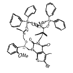 COc1ccccc1[C@H](Cn1c(=O)n(C(C)(C)C(=O)O[Si](c2ccccc2)(c2ccccc2)C(C)(C)C)c(=O)c2c(C)c(Br)sc21)OC[C@@H](C)O[Si](c1ccccc1)(c1ccccc1)C(C)(C)C